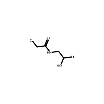 CCC(O)CNC(=O)CCl